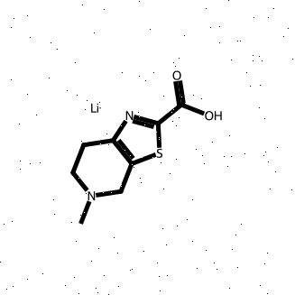 CN1CCc2nc(C(=O)O)sc2C1.[Li]